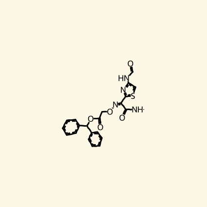 [NH]C(=O)/C(=N\OCC(=O)OC(c1ccccc1)c1ccccc1)c1nc(NC=O)cs1